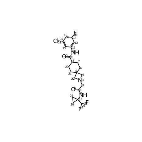 O=C(CN1CC2(CCC(C(=O)Nc3cc(F)cc(Cl)c3)CC2)C1)NC1(C(F)F)CC1